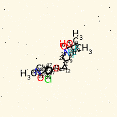 CC(C)[C@@](O)(C(=O)N1CCC([C@@H]2C[C@H]2COc2ccc(C(=O)N(C)C)c(Cl)c2)CC1)C(F)(F)F